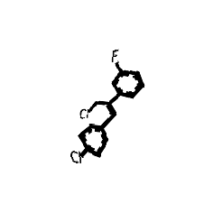 Fc1cccc(/C(=C/c2ccc(Cl)cc2)CCl)c1